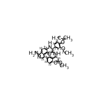 CCOc1cc(C(Nc2ccc3c(N)nccc3c2)C(=O)N[C@H](CC(=O)OC)c2ccccc2)ccc1OC(C)C